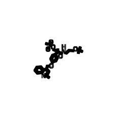 Cc1cc(COc2ccc(C(C)(COS(C)(=O)=O)C(=O)NCCCOC(C)(C)C)cc2)c2ccccc2n1